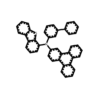 c1ccc(-c2cccc(N(c3ccc4c5ccccc5c5ccccc5c4c3)c3cccc4c3sc3ccccc34)c2)cc1